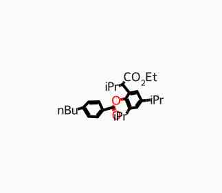 CCCCc1ccc(C(=O)Oc2c(C(C)C)cc(C(C)C)cc2C(C(=O)OCC)C(C)C)cc1